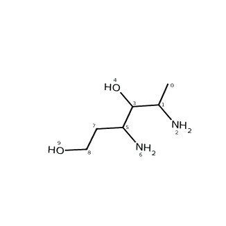 CC(N)C(O)C(N)CCO